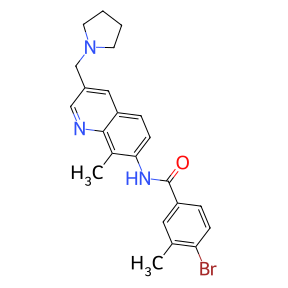 Cc1cc(C(=O)Nc2ccc3cc(CN4CCCC4)cnc3c2C)ccc1Br